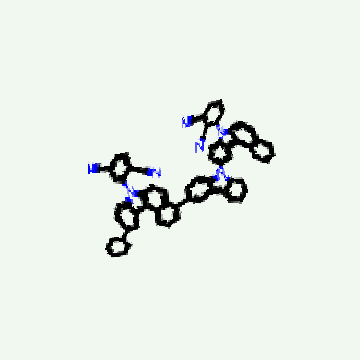 N#Cc1ccc(C#N)c(-n2c3ccc(-c4ccccc4)cc3c3c4cccc(-c5ccc6c(c5)c5ccccc5n6-c5ccc6c(c5)c5c7ccccc7ccc5n6-c5cccc(C#N)c5C#N)c4ccc32)c1